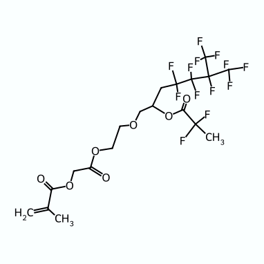 C=C(C)C(=O)OCC(=O)OCCOCC(CC(F)(F)C(F)(F)C(F)(C(F)(F)F)C(F)(F)F)OC(=O)C(C)(F)F